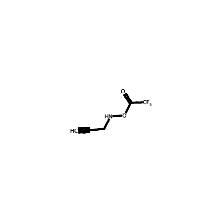 C#CCNOC(=O)C(F)(F)F